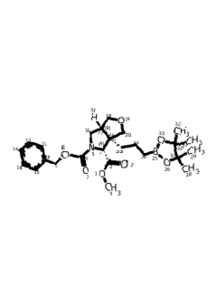 COC(=O)[C@@H]1N(C(=O)OCc2ccccc2)C[C@@H]2COC[C@]21CCCB1OC(C)(C)C(C)(C)O1